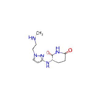 CNCCn1ccc(NC2CCC(=O)NC2=O)n1